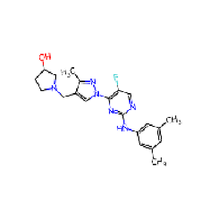 Cc1cc(C)cc(Nc2ncc(F)c(-n3cc(CN4CCC(O)C4)c(C)n3)n2)c1